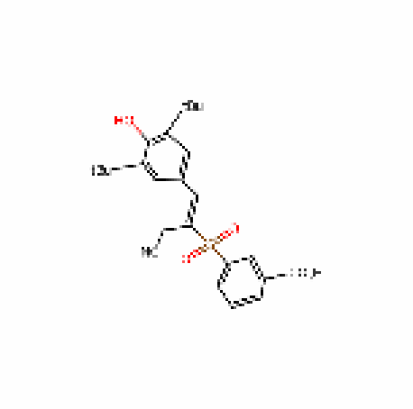 CC(C)(C)c1cc(/C=C(\CC#N)S(=O)(=O)c2cccc(C(=O)O)c2)cc(C(C)(C)C)c1O